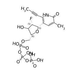 CC#Cc1[nH]c(=O)c(C)cc1[C@@H]1O[C@H](COP(=O)(O)OP(=O)(O)OP(=O)(O)O)C(O)[C@@H]1F